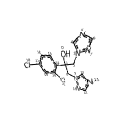 OC(Cn1cncn1)(Cn1cncn1)c1ccc(Cl)cc1Cl